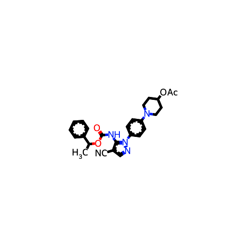 CC(=O)OC1CCN(c2ccc(-n3ncc(C#N)c3NC(=O)OC(C)c3ccccc3)cc2)CC1